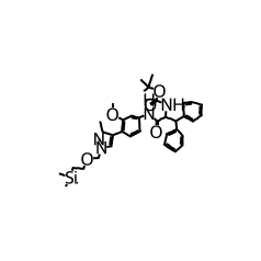 COc1cc(NC(=O)C(NC(=O)OC(C)(C)C)C(c2ccccc2)c2ccccc2)ccc1-c1cn(COCC[Si](C)(C)C)nc1C